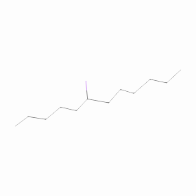 CCCCCCC(I)CCCCC